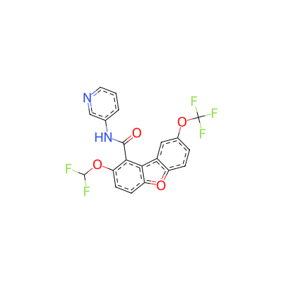 O=C(Nc1cccnc1)c1c(OC(F)F)ccc2oc3ccc(OC(F)(F)F)cc3c12